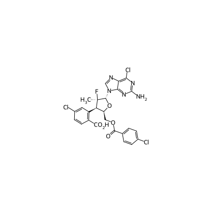 C[C@@]1(F)[C@H](c2cc(Cl)ccc2C(=O)O)[C@H](COC(=O)c2ccc(Cl)cc2)O[C@H]1n1cnc2c(Cl)nc(N)nc21